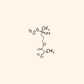 CO[Si](C)(O)CCCOC(=O)C(C)C